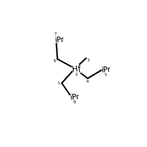 CC(C)[CH2][Hf]([CH3])([CH2]C(C)C)[CH2]C(C)C